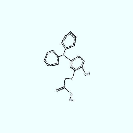 CC(C)(C)OC(=O)COc1cc([S+](c2ccccc2)c2ccccc2)ccc1O